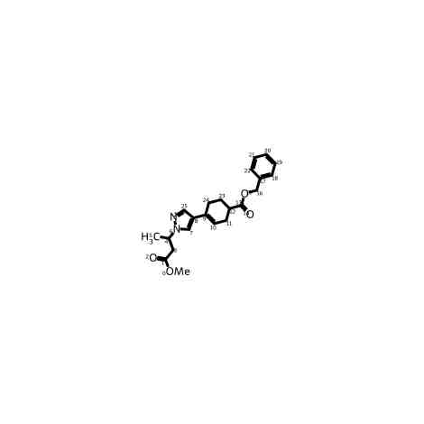 COC(=O)CC(C)n1cc(C2=CCC(C(=O)OCc3ccccc3)CC2)cn1